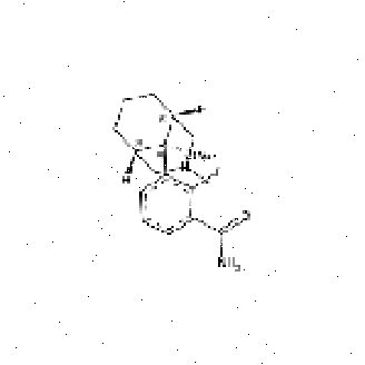 CO[C@@]1(c2cccc(C(N)=O)c2F)[C@@H]2CCC[C@H]1CN(C)C2